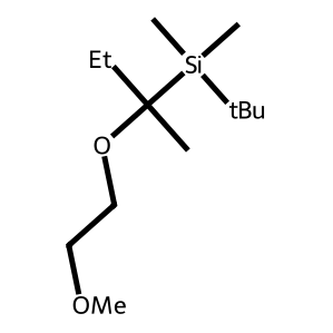 CCC(C)(OCCOC)[Si](C)(C)C(C)(C)C